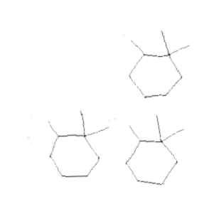 CC1(C)CCCCC1C(=O)[O-].CC1(C)CCCCC1C(=O)[O-].CC1(C)CCCCC1C(=O)[O-].[Al+3]